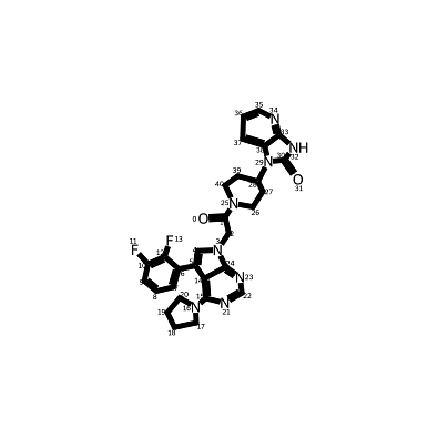 O=C(Cn1cc(-c2cccc(F)c2F)c2c(N3CCCC3)ncnc21)N1CCC(n2c(=O)[nH]c3ncccc32)CC1